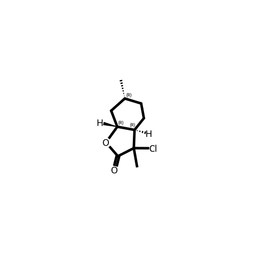 C[C@@H]1CC[C@@H]2[C@@H](C1)OC(=O)C2(C)Cl